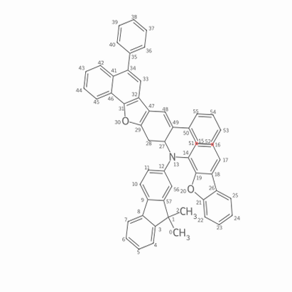 CC1(C)c2ccccc2-c2ccc(N(c3cccc4c3oc3ccccc34)C3Cc4oc5c(cc(-c6ccccc6)c6ccccc65)c4C=C3c3ccccc3)cc21